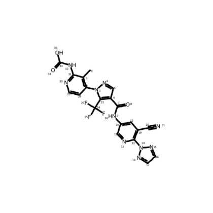 Cc1c(-n2ncc(C(=O)Nc3cnc(-n4nccn4)c(C#N)c3)c2C(F)(F)F)ccnc1NC(=O)O